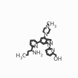 CCC[C@H](N)c1cccc(-c2cc(N3CCN(C)CC3)c3cnn(-c4cccc(CO)n4)c3c2)n1